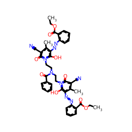 CCOC(=O)c1ccccc1/N=N/c1c(C)c(C#N)c(=O)n(CCN(CCn2c(O)c(/N=N/c3ccccc3C(=O)OCC)c(C)c(C#N)c2=O)C(=O)c2ccccc2)c1O